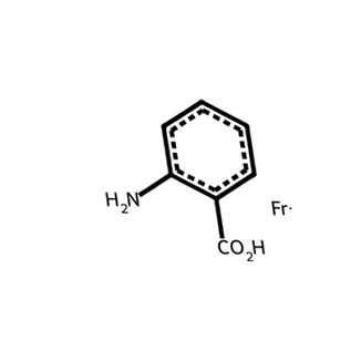 Nc1ccccc1C(=O)O.[Fr]